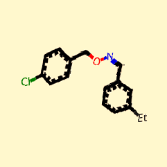 CCc1cccc(/[C]=N\OCc2ccc(Cl)cc2)c1